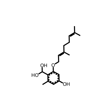 CC(C)=CCC/C(C)=C/COc1cc(O)cc(C)c1C(O)O